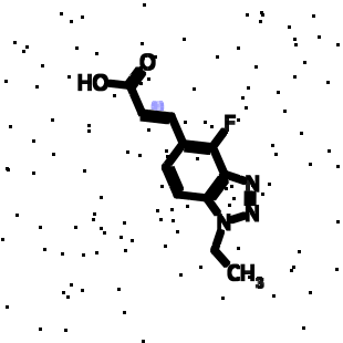 CCn1nnc2c(F)c(/C=C/C(=O)O)ccc21